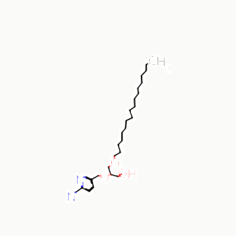 CCCCCCCCCCCCCCCCCCOCC(CO)OCc1ccc(C#N)nc1